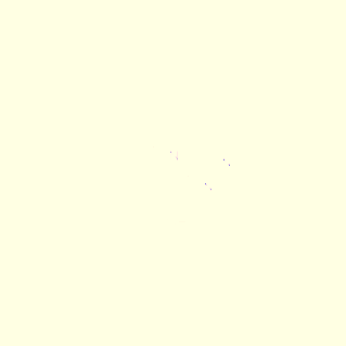 N/N=C(/CO)NC1CCCCC1